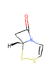 O=C1C[C@H]2SSC=CN12